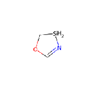 C1=N[SiH2]CO1